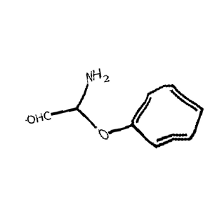 NC([C]=O)Oc1ccccc1